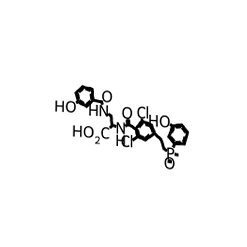 CP(=O)(CCc1cc(Cl)c(C(=O)NC(CNC(=O)c2cccc(O)c2)C(=O)O)c(Cl)c1)c1cccc(O)c1